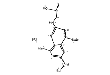 CC[C@H](C)Nc1nc(NC)c2nc(NC[C@H](C)O)nc(NC)c2n1.Cl